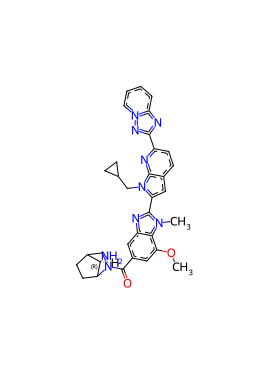 COc1cc(C(=O)N2CC3CCC2[C@@H]3N)cc2nc(-c3cc4ccc(-c5nc6ccccn6n5)nc4n3CC3CC3)n(C)c12